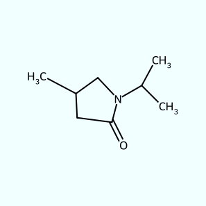 CC1CC(=O)N(C(C)C)C1